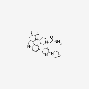 CN1Cc2cnc3ccc(-c4cnc(N5CCOCC5)nc4)nc3c2N(C2CCN(CC(N)=O)CC2)C1=O